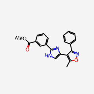 COC(=O)c1cccc(-c2nc(-c3c(-c4ccccc4)noc3C)c[nH]2)c1